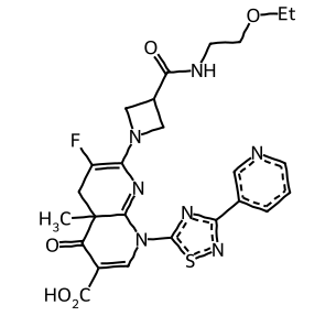 CCOCCNC(=O)C1CN(C2=C(F)CC3(C)C(=O)C(C(=O)O)=CN(c4nc(-c5cccnc5)ns4)C3=N2)C1